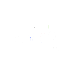 O=C(O)CC(NC(=O)c1nc(-c2ccccc2)oc1C(F)(F)F)c1cccc(F)c1